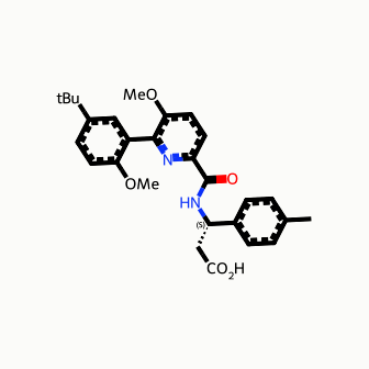 COc1ccc(C(C)(C)C)cc1-c1nc(C(=O)N[C@@H](CC(=O)O)c2ccc(C)cc2)ccc1OC